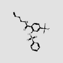 C=CCCNC(=O)c1ccc(C(F)(F)F)cc1NS(=O)(=O)c1ccccc1